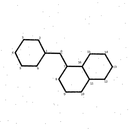 [CH](C1CCCCC1)C1CCCC2CCCCC12